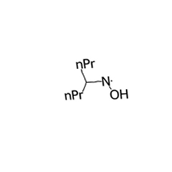 CCCC(CCC)[N]O